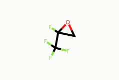 FC(F)(F)C1(F)CO1